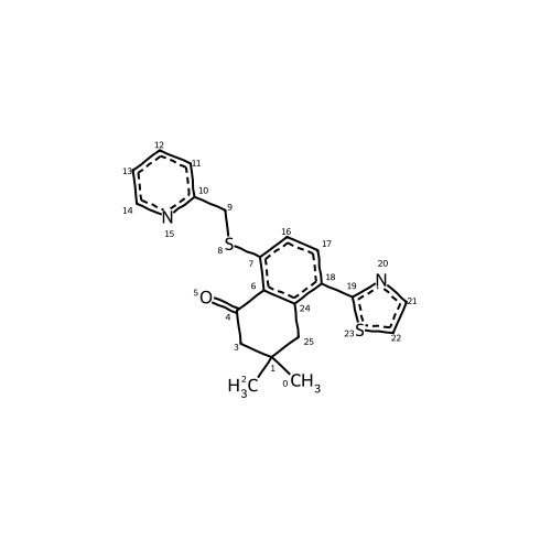 CC1(C)CC(=O)c2c(SCc3ccccn3)ccc(-c3nccs3)c2C1